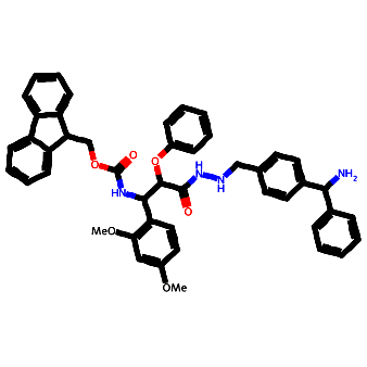 COc1ccc(C(NC(=O)OCC2c3ccccc3-c3ccccc32)C(Oc2ccccc2)C(=O)NNCc2ccc(C(N)c3ccccc3)cc2)c(OC)c1